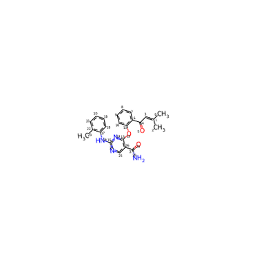 CC(C)=CC(=O)c1ccccc1Oc1nc(Nc2ccccc2C)ncc1C(N)=O